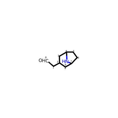 O=CCC1CC2CCC(C1)N2